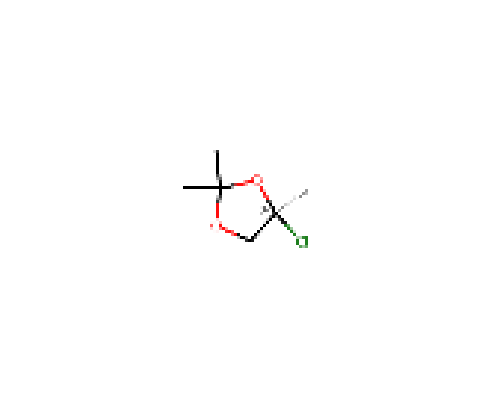 CC1(C)OC[C@](C)(Cl)O1